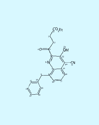 CCOC(=O)CCC(=O)c1nc2c(Cc3ccccc3)cccc2c(C#N)c1O